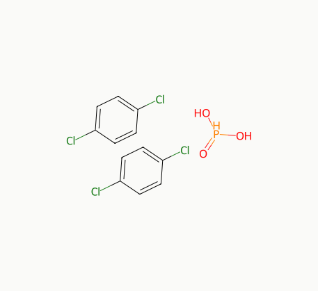 Clc1ccc(Cl)cc1.Clc1ccc(Cl)cc1.O=[PH](O)O